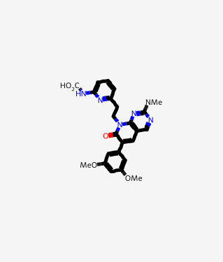 CNc1ncc2cc(-c3cc(OC)cc(OC)c3)c(=O)n(CCc3cccc(NC(=O)O)n3)c2n1